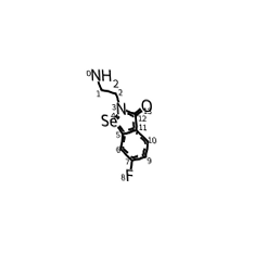 NCCn1[se]c2cc(F)ccc2c1=O